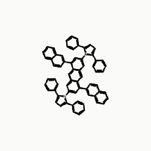 c1ccc(-c2ccc(-c3ccccc3)n2-c2cc(-c3ccc4ccccc4c3)c3cc4cc(-n5c(-c6ccccc6)ccc5-c5ccccc5)cc(-c5ccc6ccccc6c5)c4cc3c2)cc1